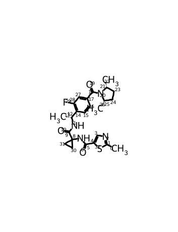 Cc1ncc(C(=O)NC2(C(=O)N[C@H](C)c3ccc(C(=O)N4[C@H](C)CC[C@@H]4C)cc3F)CC2)s1